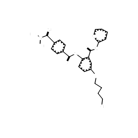 CCCCCOc1ccc(NC(=O)c2ccc(C(=N)N(C)C)cc2)c(C(=O)Nc2ccccn2)c1